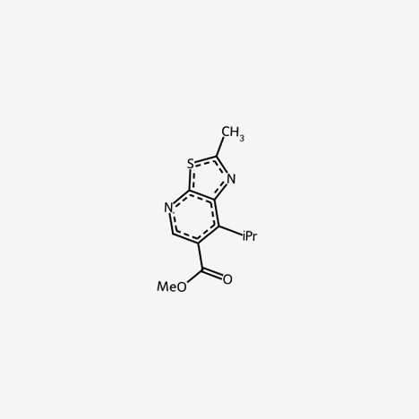 COC(=O)c1cnc2sc(C)nc2c1C(C)C